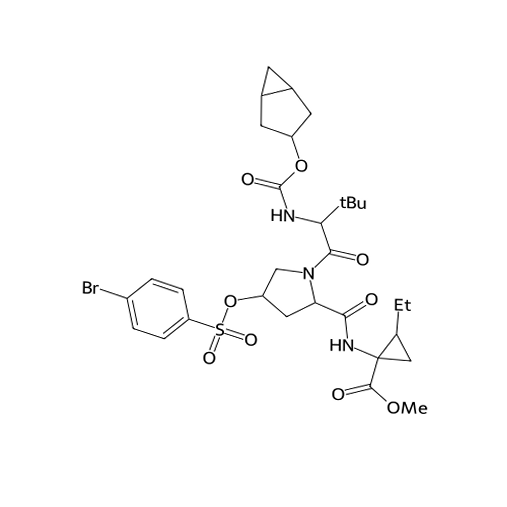 CCC1CC1(NC(=O)C1CC(OS(=O)(=O)c2ccc(Br)cc2)CN1C(=O)C(NC(=O)OC1CC2CC2C1)C(C)(C)C)C(=O)OC